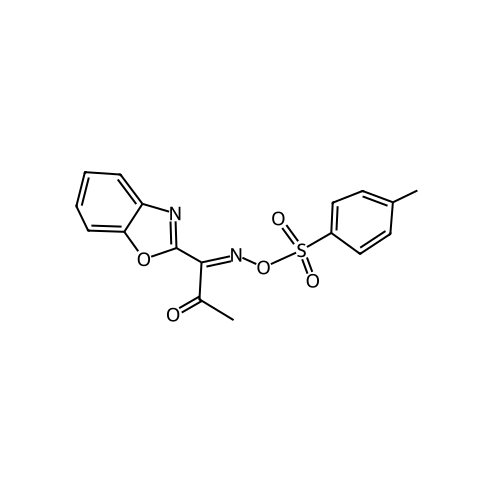 CC(=O)/C(=N\OS(=O)(=O)c1ccc(C)cc1)c1nc2ccccc2o1